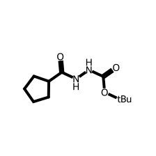 CC(C)(C)OC(=O)NNC(=O)C1CCCC1